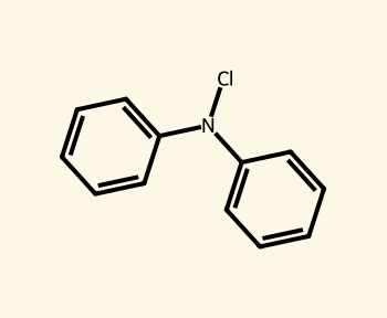 ClN(c1ccccc1)c1ccccc1